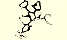 CC(C)NC(=O)c1nc(-c2c(F)cc(S(C)(=O)=O)cc2F)c(F)c(C2CCCCO2)c1-c1cccnc1